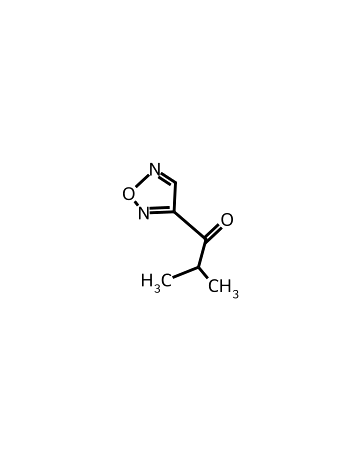 CC(C)C(=O)c1cnon1